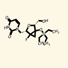 CC[Si](CC)(CC)OC12CC1(F)[C@H](Cn1ccc(=O)[nH]c1=O)O[C@@H]2CO